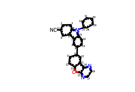 N#Cc1ccc2c(c1)c1cc(-c3ccc4oc5nccnc5c4c3)ccc1n2-c1ccccc1